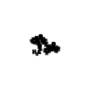 C=CCOCCn1c(C(=O)C2CCN(CCC(CN(C)C(=O)c3ccccc3)c3ccccc3)CC2)nc2ccccc21